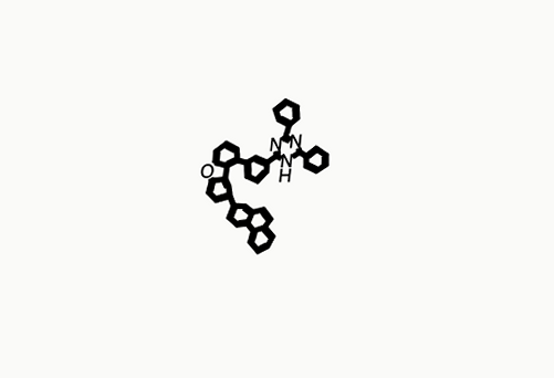 c1ccc(C2=NC(c3ccccc3)NC(c3cccc(-c4cccc5oc6ccc(-c7ccc8c(ccc9ccccc98)c7)cc6c45)c3)=N2)cc1